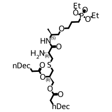 CCCCCCCCCCCC(=O)OC[C@H](CSC[C@H](N)C(=O)N[C@@H](C)COCCCP(=O)(OCC)OCC)OC(=O)CCCCCCCCCCC